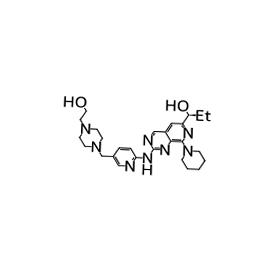 CC[C@H](O)c1cc2cnc(Nc3ccc(CN4CCN(CCO)CC4)cn3)nc2c(N2CCCCC2)n1